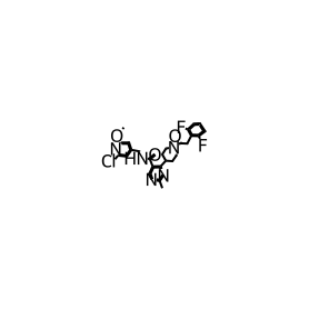 COc1cc(CNC(=O)c2cnc(C)nc2C2CCN(C(=O)Cc3c(F)cccc3F)CC2)cc(Cl)n1